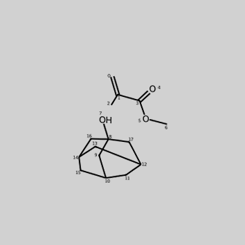 C=C(C)C(=O)OC.OC12CC3CC(CC(C3)C1)C2